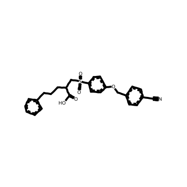 N#Cc1ccc(COc2ccc(S(=O)(=O)CC(CCCc3ccccc3)C(=O)O)cc2)cc1